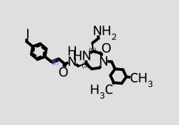 CC1CC(C)CC(CN2CC[C@@H](CNC(=O)/C=C/c3ccc(CI)cc3)N[C@@H](CCN)C2=O)C1